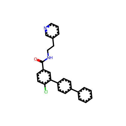 O=C(NCCc1cccnc1)c1ccc(Cl)c(-c2ccc(-c3ccccc3)cc2)c1